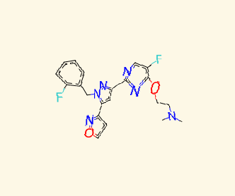 CN(C)CCOc1nc(-c2cc(-c3ccon3)n(Cc3ccccc3F)n2)ncc1F